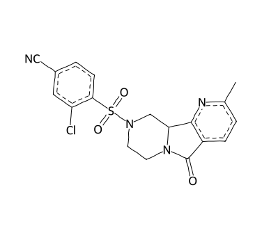 Cc1ccc2c(n1)C1CN(S(=O)(=O)c3ccc(C#N)cc3Cl)CCN1C2=O